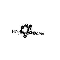 COc1ccc(-c2ccc(C[C@@H]3NC(=O)[C@H](CC4CC=CS4)NC(=O)COc4ccc(cc4)C(C(=O)O)NC(=O)[C@H](Cc4ccccc4)NC3=O)cc2)cc1